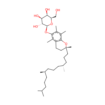 Cc1c(C)c2c(c(C)c1O[C@@H]1O[C@H](CO)[C@H](O)[C@H](O)[C@H]1O)CC[C@@](C)(CCC[C@H](C)CCC[C@H](C)CCCC(C)C)O2